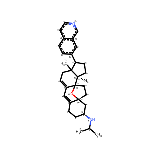 CC(C)N[C@H]1CCC2=CC3=CCC4(C)C(c5ccc6ccncc6c5)CC[C@H]4[C@@]34CC[C@]2(C1)O4